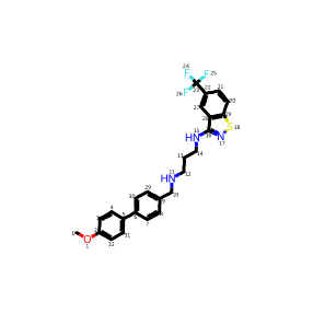 COc1ccc(-c2ccc(CNCCCNc3nsc4ccc(C(F)(F)F)cc34)cc2)cc1